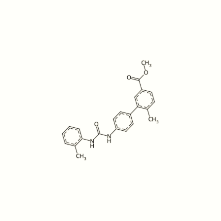 COC(=O)c1ccc(C)c(-c2ccc(NC(=O)Nc3ccccc3C)cc2)c1